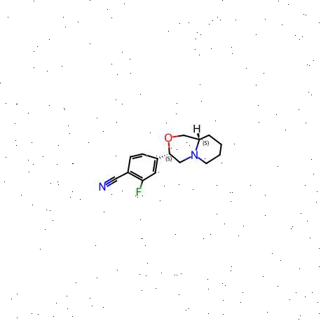 N#Cc1ccc([C@H]2CN3CCCC[C@H]3CO2)cc1F